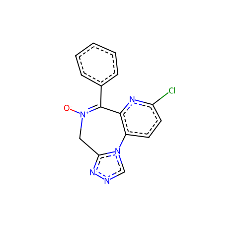 [O-][N+]1=C(c2ccccc2)c2nc(Cl)ccc2-n2cnnc2C1